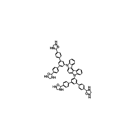 c1ccc2c(c1)c1c3c4ccccc4n(-c4cc(-c5ccc(C6NCNO6)cc5)cc(-c5ccc(C6NCNO6)cc5)c4)c3ccc1n2-c1cc(-c2ccc(C3NCNO3)cc2)cc(-c2ccc(C3NCNO3)cc2)c1